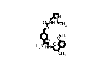 CCn1nccc1CNC(=O)OCC1CCc2c(sc(NC(=O)CC(C)c3cccc(OC)c3)c2N)C1